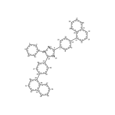 c1ccc(-n2nc(-c3ccc(-c4cccc5ccccc45)cc3)nc2-c2ccc(-c3cccc4ccccc34)cc2)cc1